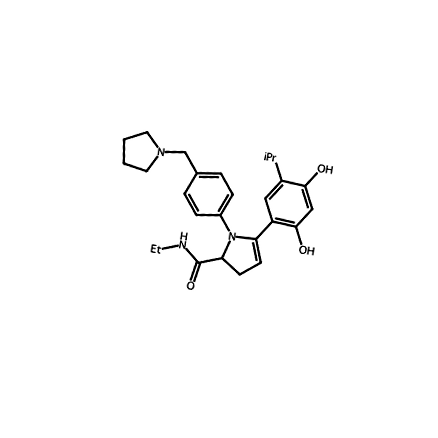 CCNC(=O)C1CC=C(c2cc(C(C)C)c(O)cc2O)N1c1ccc(CN2CCCC2)cc1